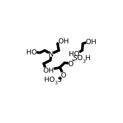 CC(COS(=O)(=O)O)OS(=O)(=O)O.OCCN(CCO)CCO.OCCO